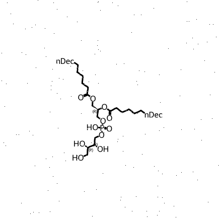 CCCCCCCCCCCCCCCC(=O)OC[C@H](COP(=O)(O)OC[C@@H](O)[C@H](O)CO)OC(=O)CCCCCCCCCCCCCCC